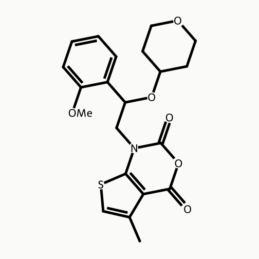 COc1ccccc1C(Cn1c(=O)oc(=O)c2c(C)csc21)OC1CCOCC1